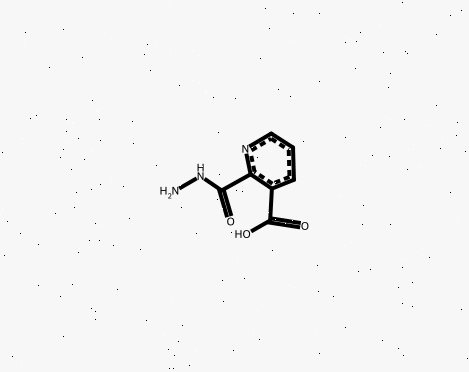 NNC(=O)c1ncccc1C(=O)O